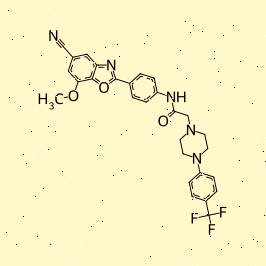 COc1cc(C#N)cc2nc(-c3ccc(NC(=O)CN4CCN(c5ccc(C(F)(F)F)cc5)CC4)cc3)oc12